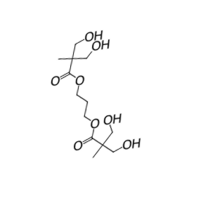 CC(CO)(CO)C(=O)OCCCOC(=O)C(C)(CO)CO